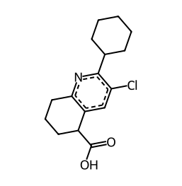 O=C(O)C1CCCc2nc(C3CCCCC3)c(Cl)cc21